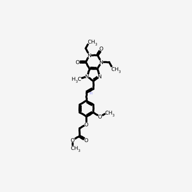 CCn1c(=O)c2c(nc(/C=C/c3ccc(OCC(=O)OC)c(OC)c3)n2C)n(CC)c1=O